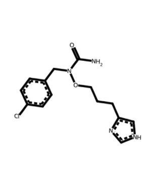 NC(=O)N(Cc1ccc(Cl)cc1)OCCCc1c[nH]cn1